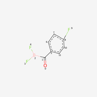 O=C(B(F)F)c1ccc(F)cc1